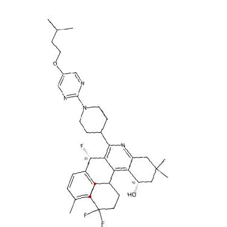 Cc1ccc([C@H](F)c2c(C3CCN(c4ncc(OCCC(C)C)cn4)CC3)nc3c(c2C2CCC(F)(F)CC2)[C@@H](O)CC(C)(C)C3)cc1